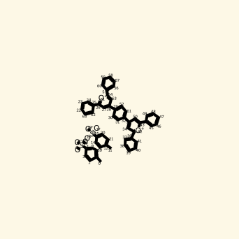 Cc1ccc(S(=O)(=O)[O-])cc1.Cc1ccc(S(=O)(=O)[O-])cc1.c1ccc(-c2cc(-c3ccc(-c4cc(-c5ccccc5)[o+]c(-c5ccccc5)c4)cc3)cc(-c3ccccc3)[o+]2)cc1